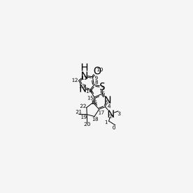 CCN(C)c1nc2sc3c(=O)[nH]cnc3c2c2c1CC(C)(C)C2